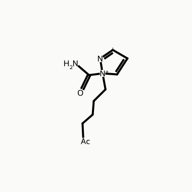 CC(=O)CCCC[N+]1(C(N)=O)C=C[C]=N1